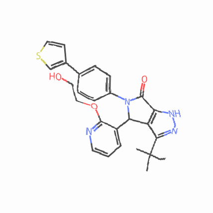 CC(C)(C)c1n[nH]c2c1C(c1cccnc1OCCO)N(c1ccc(-c3ccsc3)cc1)C2=O